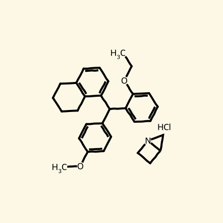 C1CN2CC12.CCOc1ccccc1C(c1ccc(OC)cc1)c1cccc2c1CCCC2.Cl